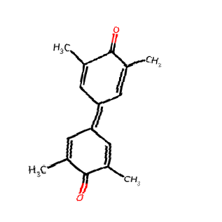 CC1=CC(=C2C=C(C)C(=O)C(C)=C2)C=C(C)C1=O